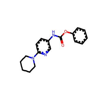 O=C(Nc1ccc(N2CCCCC2)nc1)Oc1ccccc1